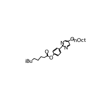 CCCCCCCCOc1cnc(-c2ccc(OC(=O)CCCCC(C)CC)cc2)nc1